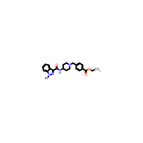 CC(C)n1nc(C(=O)NC2CCN(Cc3ccc(C(=O)OCC(Cl)(Cl)Cl)cc3)CC2)c2ccccc21